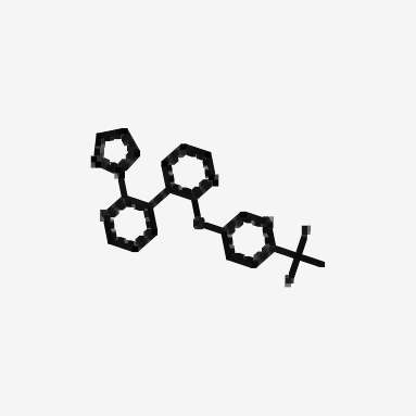 CC(F)(F)c1ccc(Oc2ncccc2-c2cccnc2-n2cccn2)cn1